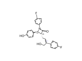 O=C1[C@H](C/C=C(\CO)c2ccc(F)cc2)[C@@H](c2ccc(O)cc2)N1c1ccc(F)cc1